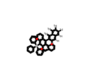 [2H]c1c([2H])c([2H])c2c([2H])c(-c3c4ccccc4c([Si](c4ccccc4)(c4ccccc4)c4ccccc4)c4ccc5ccccc5c34)c([2H])c([2H])c2c1[2H]